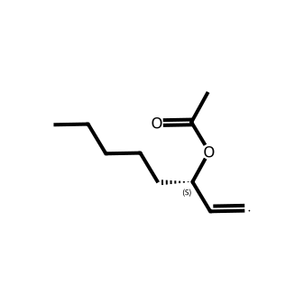 [CH]=C[C@H](CCCCC)OC(C)=O